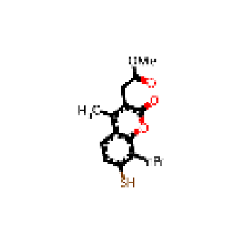 CCCc1c(S)ccc2c(C)c(CC(=O)OC)c(=O)oc12